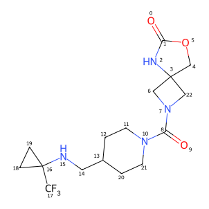 O=C1NC2(CO1)CN(C(=O)N1CCC(CNC3(C(F)(F)F)CC3)CC1)C2